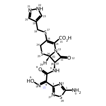 Nc1nc(/C(=N/O)C(=O)N[C@@H]2C(=O)N3C(C(=O)O)=C(SCc4cn[nH]c4)CS[C@@H]23)ns1